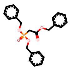 O=C(CP(=O)(OCc1ccccc1)OCc1ccccc1)OCc1ccccc1